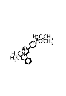 CC1(C)Cc2ccccc2C(=CC(=O)C2CCN(C(=O)OC(C)(C)C)CC2)N1